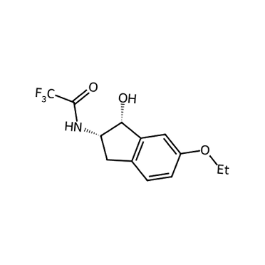 CCOc1ccc2c(c1)[C@@H](O)[C@@H](NC(=O)C(F)(F)F)C2